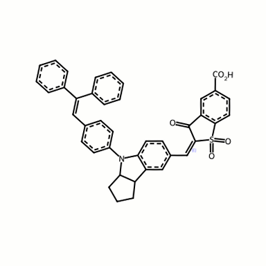 O=C(O)c1ccc2c(c1)C(=O)/C(=C\c1ccc3c(c1)C1CCCC1N3c1ccc(C=C(c3ccccc3)c3ccccc3)cc1)S2(=O)=O